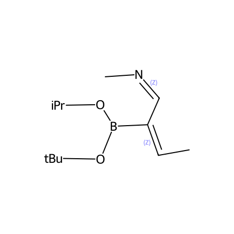 C/C=C(\C=N/C)B(OC(C)C)OC(C)(C)C